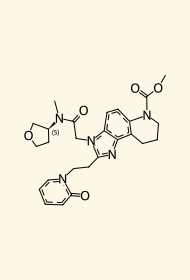 COC(=O)N1CCCc2c1ccc1c2nc(CCn2ccccc2=O)n1CC(=O)N(C)[C@H]1CCOC1